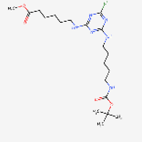 COC(=O)CCCCCNc1nc(Cl)nc(NCCCCCNC(=O)OC(C)(C)C)n1